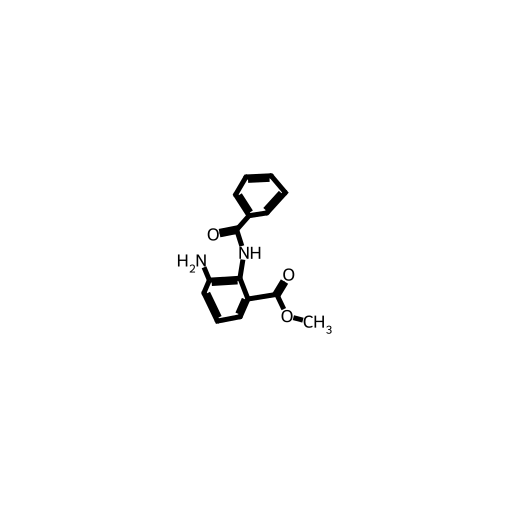 COC(=O)c1cccc(N)c1NC(=O)c1ccccc1